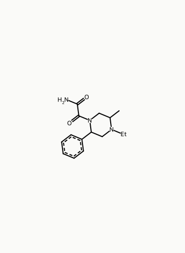 CCN1CC(c2ccccc2)N(C(=O)C(N)=O)CC1C